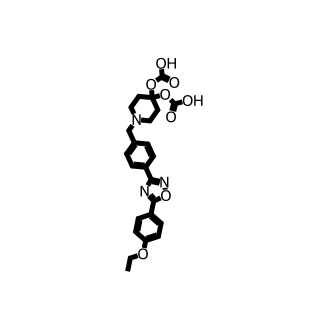 CCOc1ccc(-c2nc(-c3ccc(CN4CCC(OC(=O)O)(OC(=O)O)CC4)cc3)no2)cc1